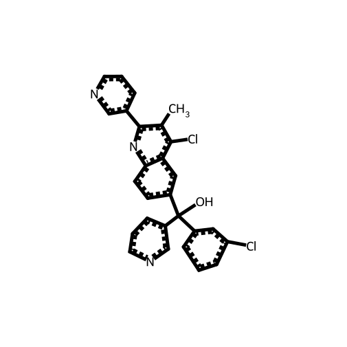 Cc1c(-c2cccnc2)nc2ccc(C(O)(c3cccnc3)c3cccc(Cl)c3)cc2c1Cl